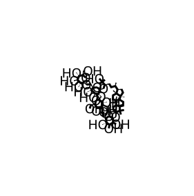 C[C@H](CC[C@@H](O[C@@H]1O[C@H](CO[C@@H]2O[C@H](CO)[C@@H](O)[C@H](O)[C@H]2O)[C@@H](O)[C@H](O)[C@H]1O[C@@H]1O[C@H](CO)[C@@H](O)[C@H](O)[C@H]1O)C(C)(C)O)[C@H]1CC[C@@]2(C)C3CC=C4[C@@H](CC[C@H](O[C@@H]5O[C@H](CO)[C@@H](O)C(O)C5O)C4(C)C)[C@]3(C)CC[C@]12C